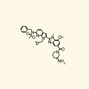 COc1cc(C(=O)N2CCC[C@@H](N)C2)cc2nc(-c3cc4ccc(N(Cc5ccccc5)S(C)(=O)=O)nc4n3CC3CC3)n(C)c12